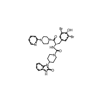 O=C(N[C@H](Cc1cc(Br)c(O)c(Br)c1)C(=O)N1CCN(c2ccccn2)CC1)N1CCC(n2c(=O)[nH]c3ccccc32)CC1